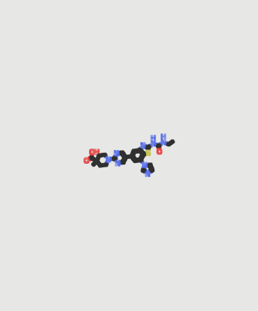 CCNC(=O)Nc1nc2cc(-c3cnc(N4CCC(C)(C(=O)O)CC4)nc3)cc(-n3ccnc3)c2s1